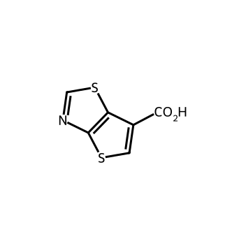 O=C(O)c1csc2ncsc12